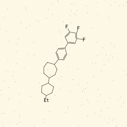 CCC1CCC(C2CCCC(c3ccc(-c4cc(F)c(F)c(F)c4)cc3)CC2)CC1